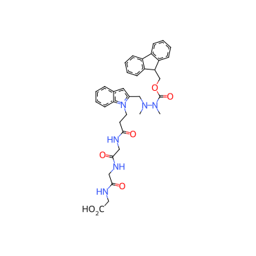 CN(Cc1cc2ccccc2n1CCC(=O)NCC(=O)NCC(=O)NCC(=O)O)N(C)C(=O)OCC1c2ccccc2-c2ccccc21